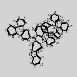 c1ccc(-c2ccccc2-c2ccc(N(c3ccc4c(c3)oc3ccccc34)c3cccc4c3Oc3ccccc3C43c4ccccc4[Si](c4ccccc4)(c4ccccc4)c4ccccc43)cc2)cc1